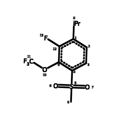 CC(C)c1ccc(S(C)(=O)=O)c(OC(F)(F)F)c1F